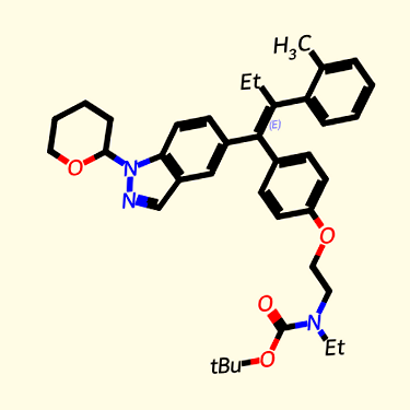 CC/C(=C(/c1ccc(OCCN(CC)C(=O)OC(C)(C)C)cc1)c1ccc2c(cnn2C2CCCCO2)c1)c1ccccc1C